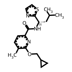 Cc1ccc(C(=O)N[C@@H](CC(C)C)c2nccs2)nc1OCC1CC1